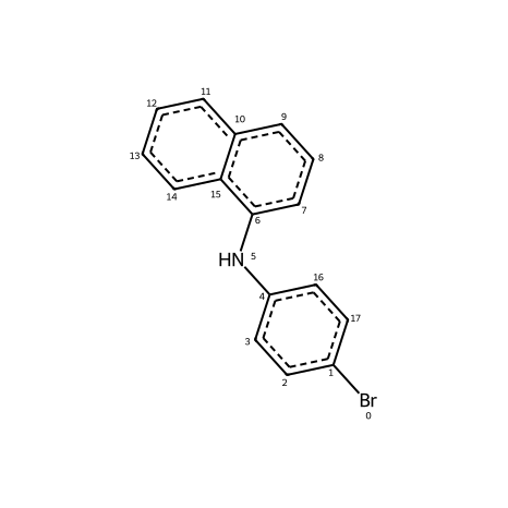 Brc1ccc(Nc2cccc3ccccc23)cc1